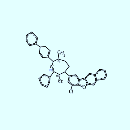 CC[C@@H]1/C(c2ccccc2)=N\C(C2=CCC(c3ccccc3)C=C2)[C@@H](C)CCC1c1cc(Cl)c2oc3cc4ccccc4cc3c2c1